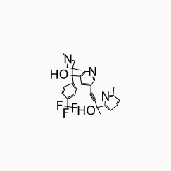 Cc1cccc(C(C)(O)C#Cc2cncc(C(O)(c3ccc(C(F)(F)F)cc3)C3(C)CN(C)C3)c2)n1